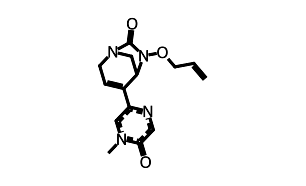 C=CCON1C(=O)N2CC=C(c3cn(C)c(=O)cn3)C1C2